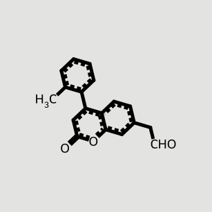 Cc1ccccc1-c1cc(=O)oc2cc(CC=O)ccc12